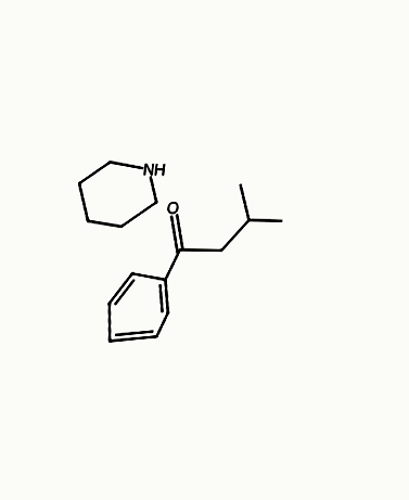 C1CCNCC1.CC(C)CC(=O)c1ccccc1